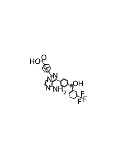 Nc1nccn2c(C34CCC(C(=O)O)(CC3)CC4)nc(-c3ccc([C@@H](O)C4=CCCC(C(F)(F)F)=C4)cc3)c12